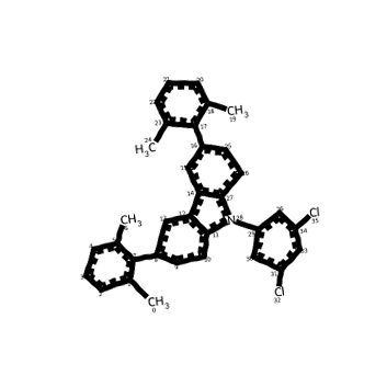 Cc1cccc(C)c1-c1ccc2c(c1)c1cc(-c3c(C)cccc3C)ccc1n2-c1cc(Cl)cc(Cl)c1